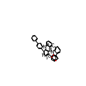 Cc1cccc2c3cccc(C)c3n(B3c4ccccc4-n4c5cc(-c6ccccc6)ccc5c5ccc(-c6ccccc6)c3c54)c12